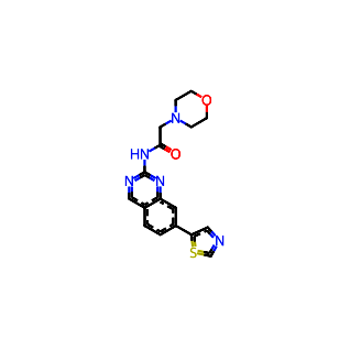 O=C(CN1CCOCC1)Nc1ncc2ccc(-c3cncs3)cc2n1